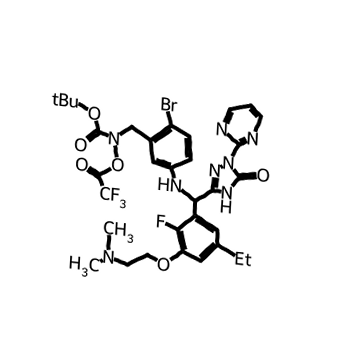 CCc1cc(OCCN(C)C)c(F)c(C(Nc2ccc(Br)c(CN(OC(=O)C(F)(F)F)C(=O)OC(C)(C)C)c2)c2nn(-c3ncccn3)c(=O)[nH]2)c1